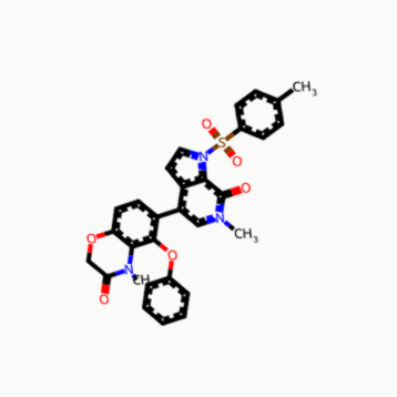 Cc1ccc(S(=O)(=O)n2ccc3c(-c4ccc5c(c4Oc4ccccc4)N(C)C(=O)CO5)cn(C)c(=O)c32)cc1